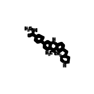 CNC(=O)c1ccc(-c2ccc3c(c2)Nc2ccc(CN4CCNCC4)cc2C3(C)C)cc1